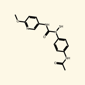 COc1ccc(NC(=O)N(S)c2ccc(NC(C)=O)cc2)cn1